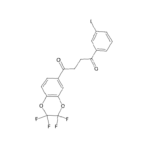 O=C(CCC(=O)c1ccc2c(c1)OC(F)(F)C(F)(F)O2)c1cccc(I)c1